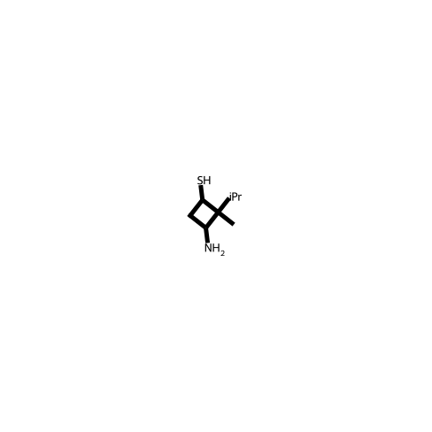 CC(C)C1(C)C(N)CC1S